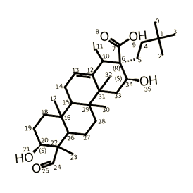 CC(C)(C)CC[C@@]1(C(=O)O)C(I)C2=CCC3C4(C)CC[C@H](O)C(C)(C=O)C4CCC3(C)C2(C)C[C@@H]1O